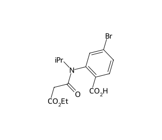 CCOC(=O)CC(=O)N(c1cc(Br)ccc1C(=O)O)C(C)C